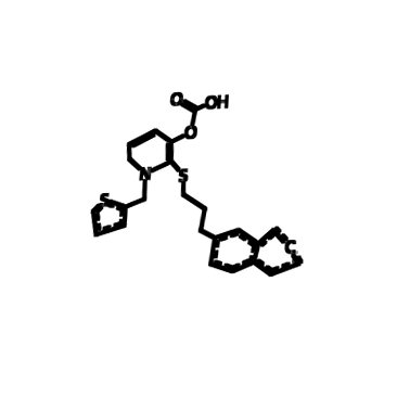 O=C(O)OC1=C(SCCCc2ccc3ccccc3c2)N(Cc2cccs2)CC=C1